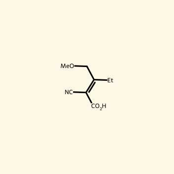 CCC(COC)=C(C#N)C(=O)O